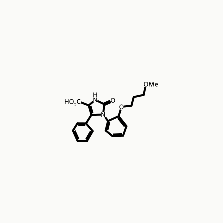 COCCCOc1ccccc1-n1c(-c2ccccc2)c(C(=O)O)[nH]c1=O